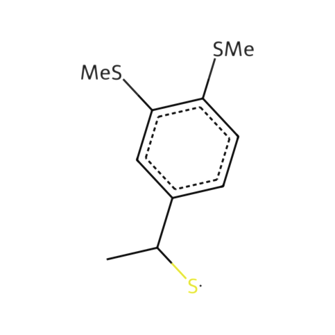 CSc1ccc(C(C)[S])cc1SC